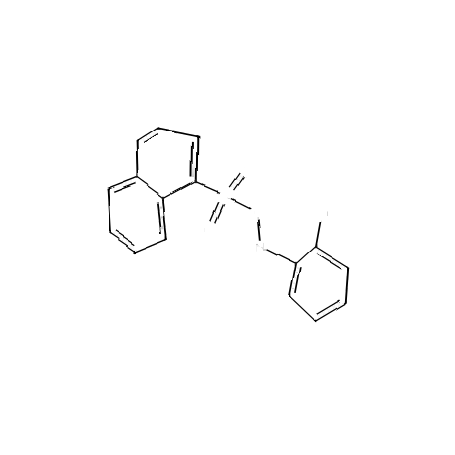 Cc1ccccc1NOS(=O)(=O)c1cccc2ccccc12